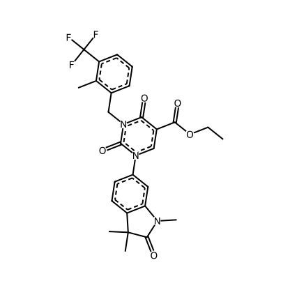 CCOC(=O)c1cn(-c2ccc3c(c2)N(C)C(=O)C3(C)C)c(=O)n(Cc2cccc(C(F)(F)F)c2C)c1=O